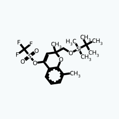 Cc1cccc2c1OC(C)(CO[Si](C)(C)C(C)(C)C)C=C2OS(=O)(=O)C(F)(F)F